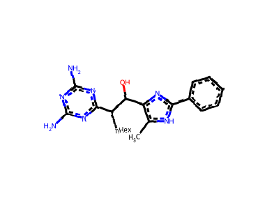 CCCCCCC(c1nc(N)nc(N)n1)C(O)c1nc(-c2ccccc2)[nH]c1C